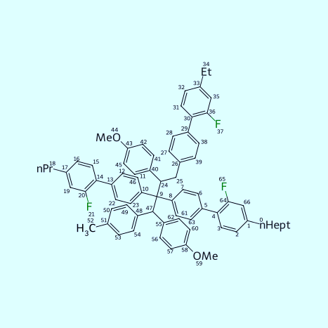 CCCCCCCc1ccc(-c2ccc(C(c3ccc(-c4ccc(CCC)cc4F)cc3)(C(Cc3ccc(-c4ccc(CC)cc4F)cc3)c3ccc(OC)cc3)C(c3ccc(C)cc3)c3ccc(OC)cc3)cc2)c(F)c1